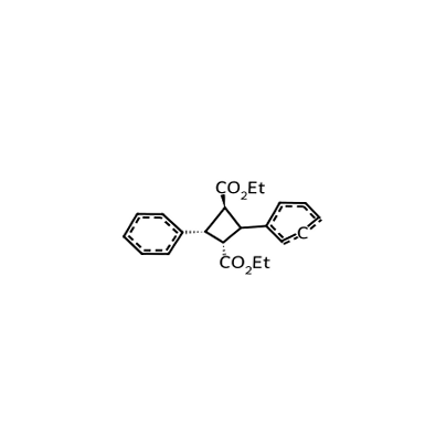 CCOC(=O)[C@H]1C(c2ccccc2)[C@H](C(=O)OCC)[C@@H]1c1ccccc1